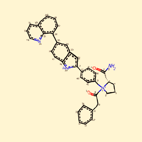 NC(=O)[C@@H]1CCC[N+]1(C(=O)Cc1ccccc1)c1ccc(-c2cc3cc(-c4cccc5cccnc45)ccc3[nH]2)cc1